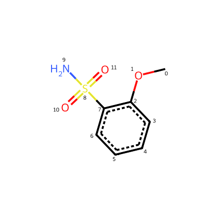 COc1cc[c]cc1S(N)(=O)=O